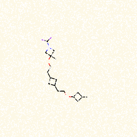 COC1CC(OCCC2CC(CCOC3(C)CN(C(I)I)C3)C2)C1